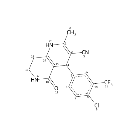 CC1=C(C#N)C(c2ccc(Cl)c(C(F)(F)F)c2)C2=C(CCNC2=O)N1